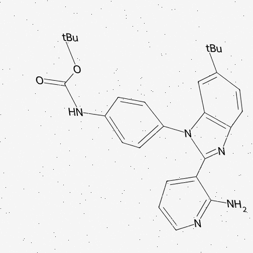 CC(C)(C)OC(=O)Nc1ccc(-n2c(-c3cccnc3N)nc3ccc(C(C)(C)C)cc32)cc1